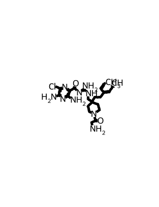 C#C/C=C(\C=C/C)CCC1(CN/C(N)=N/C(=O)c2nc(Cl)c(N)nc2N)CCN(C(=O)CN)CC1